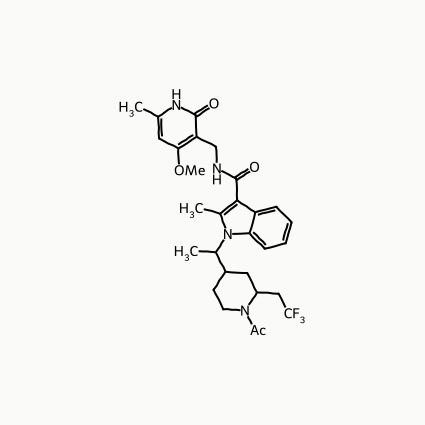 COc1cc(C)[nH]c(=O)c1CNC(=O)c1c(C)n(C(C)C2CCN(C(C)=O)C(CC(F)(F)F)C2)c2ccccc12